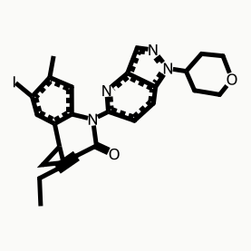 CCC#CC(=O)N(c1ccc2c(cnn2C2CCOCC2)n1)c1cc(C)c(I)cc1C1CC1